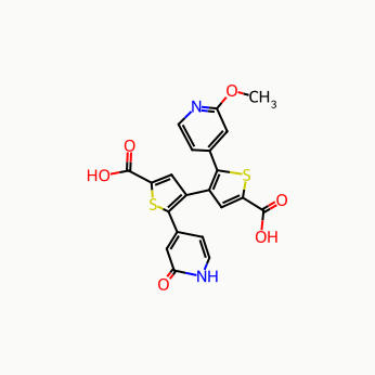 COc1cc(-c2sc(C(=O)O)cc2-c2cc(C(=O)O)sc2-c2cc[nH]c(=O)c2)ccn1